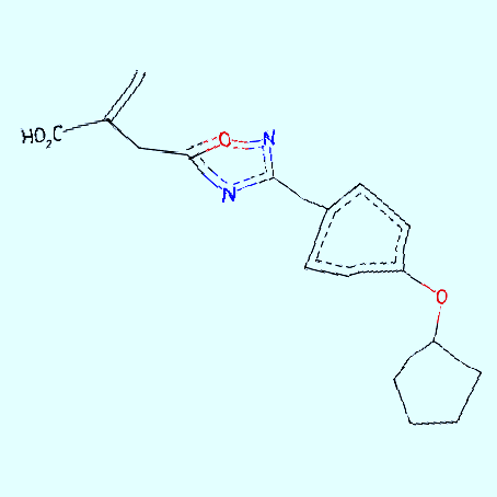 C=C(Cc1nc(-c2ccc(OC3CCCC3)cc2)no1)C(=O)O